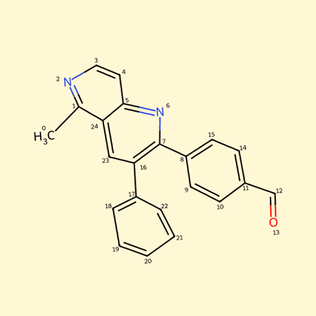 Cc1nccc2nc(-c3ccc(C=O)cc3)c(-c3ccccc3)cc12